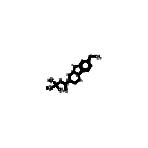 COc1ccc2c(c1)OC1CN(C(=O)OC(C)(C)C)CCC21